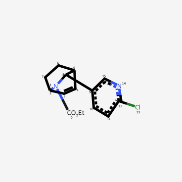 CCOC(=O)N1C2C=CC(CC2)C1c1ccc(Cl)nc1